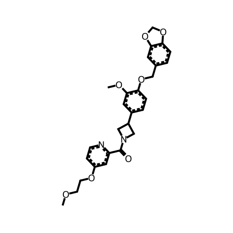 COCCOc1ccnc(C(=O)N2CC(c3ccc(OCc4ccc5c(c4)OCO5)c(OC)c3)C2)c1